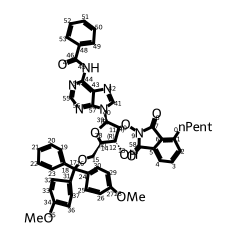 CCCCCc1cccc2c1C(=O)N(O[C@@H]1[C@H](O)[C@@H](COC(c3ccccc3)(c3ccc(OC)cc3)c3ccc(OC)cc3)O[C@H]1n1cnc3c(NC(=O)c4ccccc4)ncnc31)C2=O